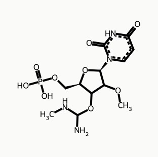 CNC(N)OC1C(OC)[C@H](n2ccc(=O)[nH]c2=O)O[C@@H]1COP(=O)(O)O